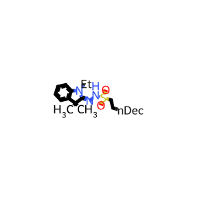 CCCCCCCCCCCCS(=O)(=O)N/N=C1\N(CC)c2ccccc2C1(C)C